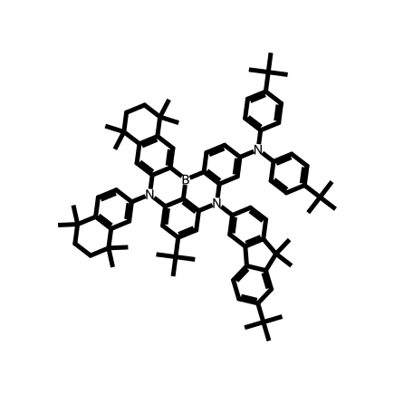 CC(C)(C)c1ccc(N(c2ccc(C(C)(C)C)cc2)c2ccc3c(c2)N(c2ccc4c(c2)-c2ccc(C(C)(C)C)cc2C4(C)C)c2cc(C(C)(C)C)cc4c2B3c2cc3c(cc2N4c2ccc4c(c2)C(C)(C)CCC4(C)C)C(C)(C)CCC3(C)C)cc1